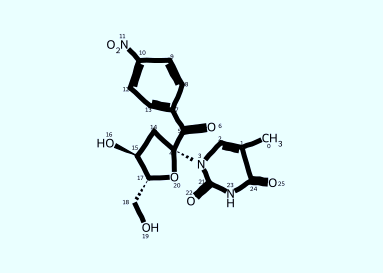 Cc1cn([C@@]2(C(=O)c3ccc([N+](=O)[O-])cc3)C[C@H](O)[C@@H](CO)O2)c(=O)[nH]c1=O